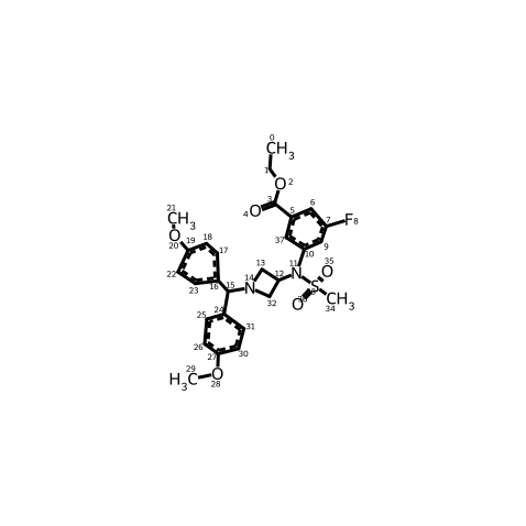 CCOC(=O)c1cc(F)cc(N(C2CN(C(c3ccc(OC)cc3)c3ccc(OC)cc3)C2)S(C)(=O)=O)c1